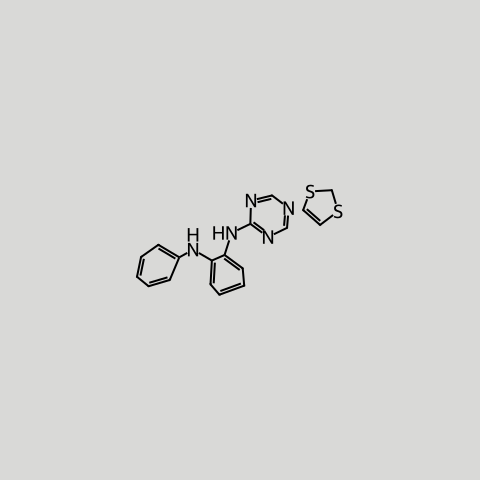 C1=CSCS1.c1ccc(Nc2ccccc2Nc2ncncn2)cc1